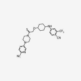 N#Cc1ccc(N2CCN(C(=S)COC3CCC(Nc4ccc(C#N)c(C(F)(F)F)c4)CC3)CC2)cn1